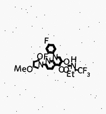 CC[C@@H](NC(=O)Oc1cn(-c2ccc(F)cc2F)c2nc(N3C[C@@H](OC)CC3=O)ccc2c1=O)C(F)(F)F